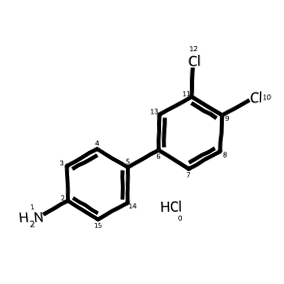 Cl.Nc1ccc(-c2ccc(Cl)c(Cl)c2)cc1